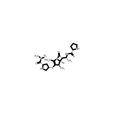 C[C@@H](NC(=O)[C@@H]1CCCN1)[C@H]1C(=O)N2C(C(=O)O)=C(S[C@@H]3CN[C@H](C(=O)N(C)C)C3)[C@H](C)[C@H]12